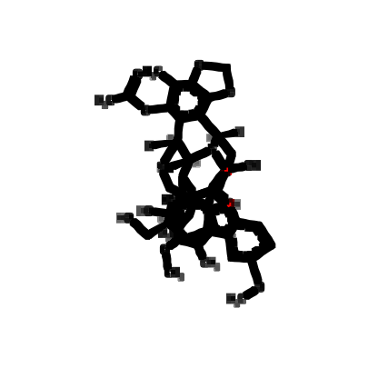 CCN1CC2(O)Cc3cc(C)c(OC)c(O)c3C1[C@@H]1[C@@H]3SC[C@]4(N[C@H](CO)Cc5c4[nH]c4ccc(OC)cc54)C(=O)OC[C@@H](c4c5c(c(C)c(OC(C)=O)c43)OCO5)N12